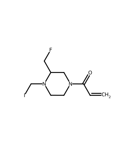 C=CC(=O)N1CCN(CI)C(CF)C1